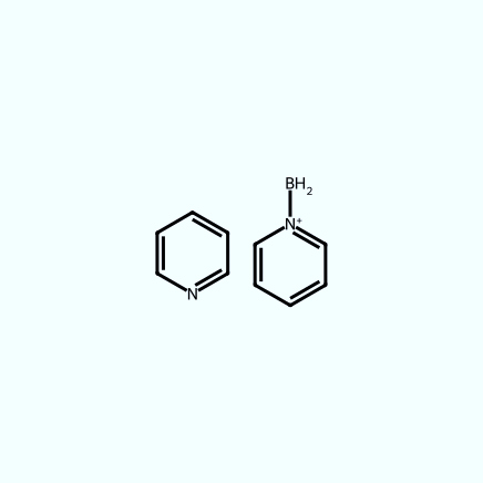 B[n+]1ccccc1.c1ccncc1